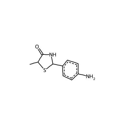 CC1SC(c2ccc(N)cc2)NC1=O